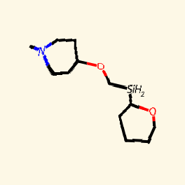 CN1CCC(OC[SiH2]C2CCCCO2)CC1